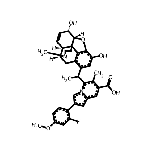 COc1ccc(-c2cc3cc(C(=O)O)c(C)c(C(C)c4cc(O)c5c6c4C[C@@H]4[C@@H]7C=C[C@H](O)[C@H](O5)[C@]67CCN4C)n3c2)c(F)c1